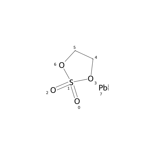 O=S1(=O)OCCO1.[Pb]